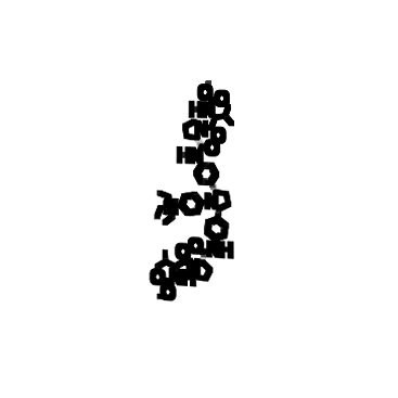 CC[Si](CC)(CC)c1ccc(N2[C@H](c3ccc(NC(=O)[C@@H]4CCCN4C(=O)[C@@H](NC(=O)OC)C(C)C)cc3)CC[C@H]2c2ccc(NC(=O)[C@@H]3CCCN3C(=O)[C@@H](NC(=O)OC)C(C)C)cc2)cc1